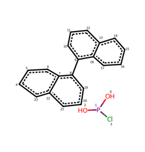 OP(O)Cl.c1ccc2c(-c3cccc4ccccc34)cccc2c1